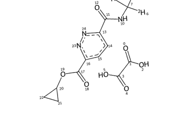 O=C(O)C(=O)O.[2H]C([2H])([2H])NC(=O)c1ccc(C(=O)OC2CC2)nn1